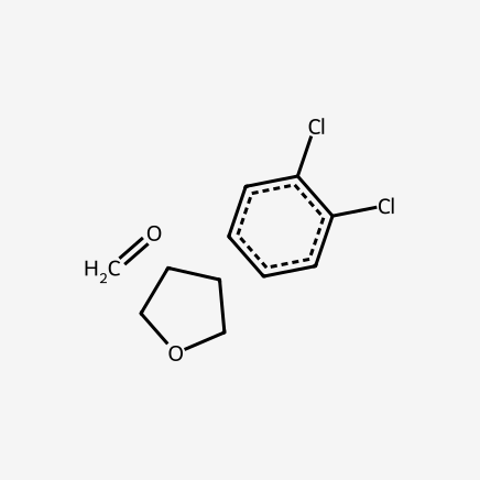 C1CCOC1.C=O.Clc1ccccc1Cl